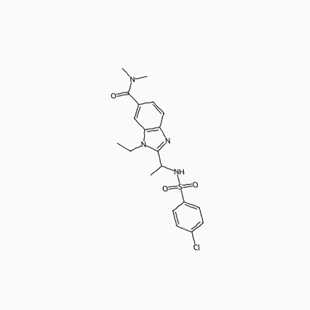 CCn1c(C(C)NS(=O)(=O)c2ccc(Cl)cc2)nc2ccc(C(=O)N(C)C)cc21